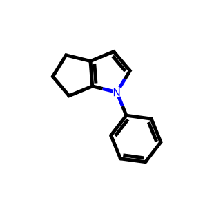 c1ccc(-n2ccc3c2CCC3)cc1